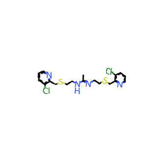 C/C(=N\CCSCc1ncccc1Cl)NCCSCc1ncccc1Cl